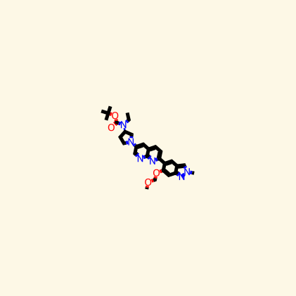 CCN(C(=O)OC(C)(C)C)[C@@H]1CCN(c2cnc3nc(-c4cc5cn(C)nc5cc4OCOC)ccc3c2)C1